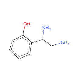 NCC(N)c1ccccc1O